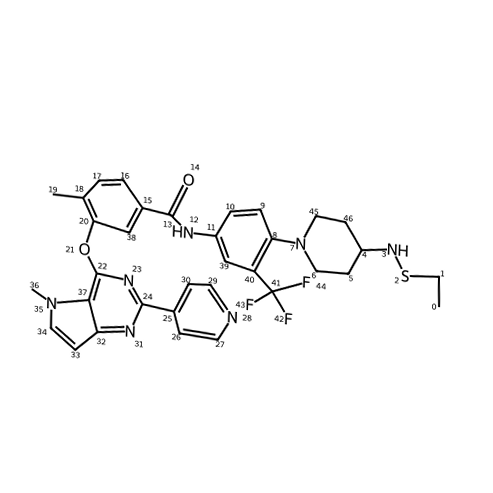 CCSNC1CCN(c2ccc(NC(=O)c3ccc(C)c(Oc4nc(-c5ccncc5)nc5ccn(C)c45)c3)cc2C(F)(F)F)CC1